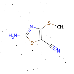 CSc1nc(N)sc1C#N